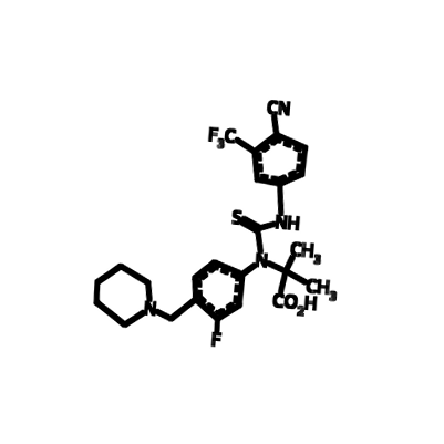 CC(C)(C(=O)O)N(C(=S)Nc1ccc(C#N)c(C(F)(F)F)c1)c1ccc(CN2CCCCC2)c(F)c1